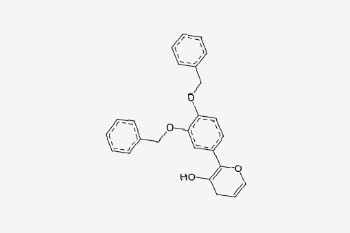 OC1=C(c2ccc(OCc3ccccc3)c(OCc3ccccc3)c2)OC=CC1